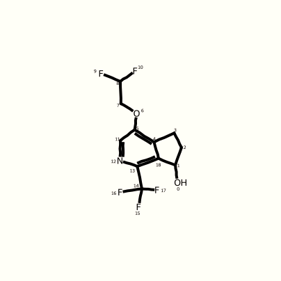 OC1CCc2c(OCC(F)F)cnc(C(F)(F)F)c21